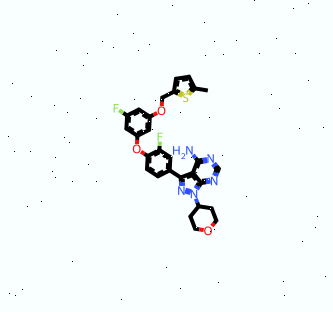 Cc1ccc(COc2cc(F)cc(Oc3ccc(-c4nn(C5CCOCC5)c5ncnc(N)c45)cc3F)c2)s1